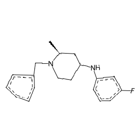 C[C@H]1C[C](Nc2cccc(F)c2)CCN1Cc1ccccc1